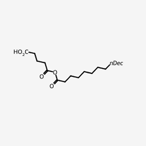 CCCCCCCCCCCCCCCCCC(=O)OC(=O)CCCC(=O)O